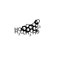 CC1(C)C2CC[C@]3(C)C(CC[C@@]4(C)[C@H](c5ccoc5)OC(=O)[C@H]5O[C@]543)[C@@]2(C)CC[C@@H]1O